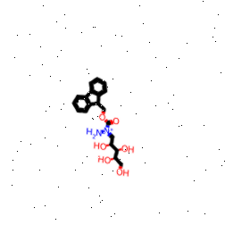 N[N+](=C[C@H](O)[C@@H](O)[C@H](O)CO)C(=O)OCC1c2ccccc2-c2ccccc21